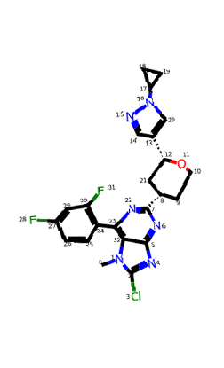 Cn1c(Cl)nc2nc([C@H]3CCO[C@@H](c4cnn(C5CC5)c4)C3)nc(-c3ccc(F)cc3F)c21